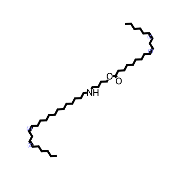 CCCCC/C=C\C/C=C\CCCCCCCCCCCCNCCCCOC(=O)CCCCCCC/C=C\C/C=C\CCCCC